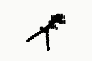 CCCCCCCCCCCCCCC(=O)OC[C@H](CSC[C@@H](N)C(=O)Nc1cn([C@H]2OC(CO)C(O)C(O)C2O)nn1)OC(=O)CCCCCCCCCCCCCC